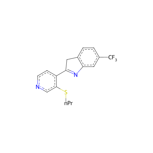 CCCSc1cnccc1C1=Nc2cc(C(F)(F)F)ccc2C1